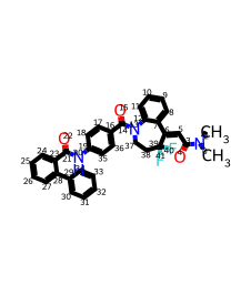 CN(C)C(=O)C=C1c2ccccc2N(C(=O)c2ccc(NC(=O)c3ccccc3-c3ccccc3)cc2)CCC1(F)F